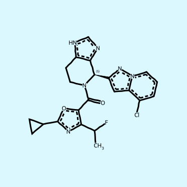 CC(F)c1nc(C2CC2)oc1C(=O)N1CCc2[nH]cnc2[C@H]1c1cc2c(Cl)cccn2n1